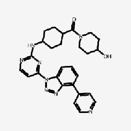 O=C(C1CCC(Nc2nccc(-n3nnc4c(-c5ccncc5)cccc43)n2)CC1)N1CCC(O)CC1